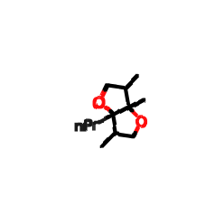 CCCC12OCC(C)C1(C)OCC2C